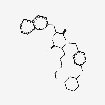 NCCCCC1C(=O)NC(Cc2ccc3ccccc3c2)C(=O)N1Cc1ccc(OC2CCCCC2)cc1